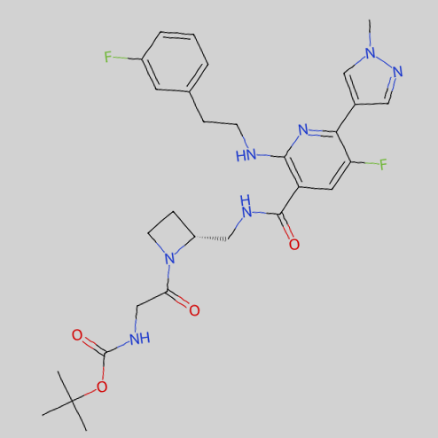 Cn1cc(-c2nc(NCCc3cccc(F)c3)c(C(=O)NC[C@H]3CCN3C(=O)CNC(=O)OC(C)(C)C)cc2F)cn1